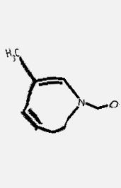 CC1=CN([O])CC=C1